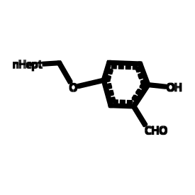 CCCCCCCCOc1ccc(O)c(C=O)c1